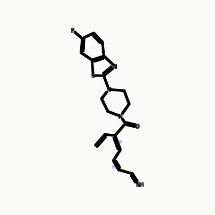 C=C/C(=C\C=C/C=N)C(=O)N1CCN(c2nc3ccc(F)cc3s2)CC1